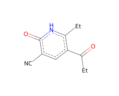 CCC(=O)c1cc(C#N)c(=O)[nH]c1CC